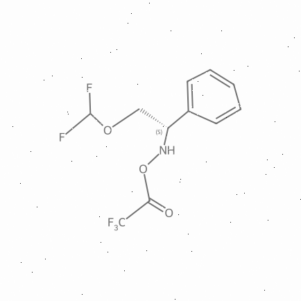 O=C(ON[C@H](COC(F)F)c1ccccc1)C(F)(F)F